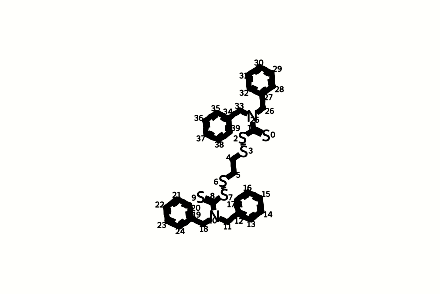 S=C(SSCCSSC(=S)N(Cc1ccccc1)Cc1ccccc1)N(Cc1ccccc1)Cc1ccccc1